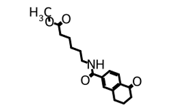 COC(=O)CCCCCNC(=O)c1ccc2c(c1)CCCC2=O